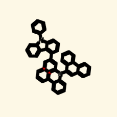 c1ccc(-c2ccccc2N(c2cccc(-c3cccc4c3c3ccccc3n4-c3ccccc3)c2)c2cc3ccccc3c3ccccc23)cc1